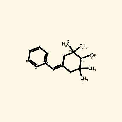 CC(C)(C)P1C(C)(C)CC(=Cc2ccccc2)CC1(C)C